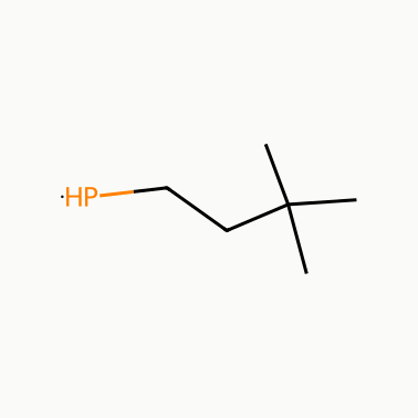 CC(C)(C)CC[PH]